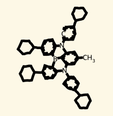 Cc1cc2c3c(c1)N(c1ccc(C4CCCCC4)cc1)c1ccc(C4CCCCC4)cc1B3c1cc(C3CCCCC3)ccc1N2c1ccc(C2CCCCC2)cc1